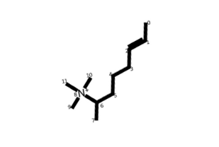 CC=CCCCC(C)[N+](C)(C)C